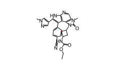 CCOC(=O)NC1CC(n2c(=O)n(C)c3cnc4[nH]c(-c5cnn(C)c5)c(-c5ccc(C#N)cc5)c4c32)C1